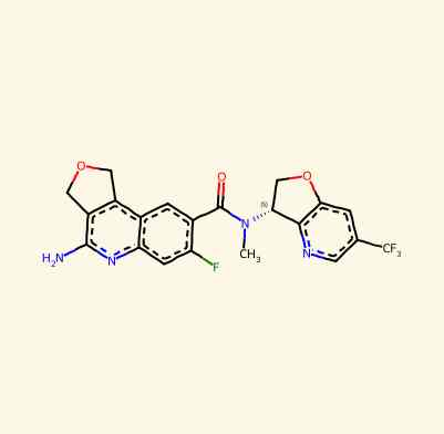 CN(C(=O)c1cc2c3c(c(N)nc2cc1F)COC3)[C@@H]1COc2cc(C(F)(F)F)cnc21